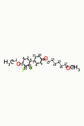 CCOc1ccc(-c2ccc(OCCCCCCOC)cc2)c(F)c1F